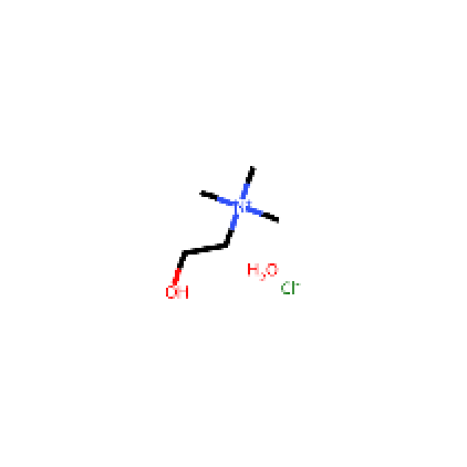 C[N+](C)(C)CCO.O.[Cl-]